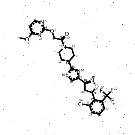 COc1ccnc(OCC(=O)N2CCC(c3nc(C4=NOC(c5c(Cl)cccc5C(F)(F)F)C4)cs3)CC2)n1